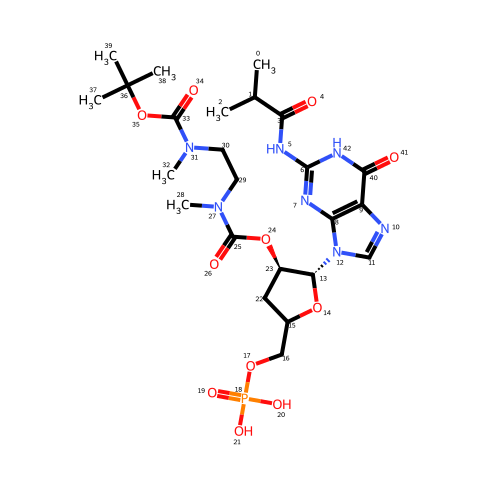 CC(C)C(=O)Nc1nc2c(ncn2[C@@H]2OC(COP(=O)(O)O)C[C@H]2OC(=O)N(C)CCN(C)C(=O)OC(C)(C)C)c(=O)[nH]1